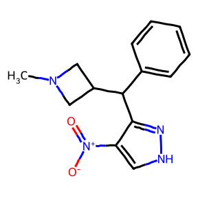 CN1CC(C(c2ccccc2)c2n[nH]cc2[N+](=O)[O-])C1